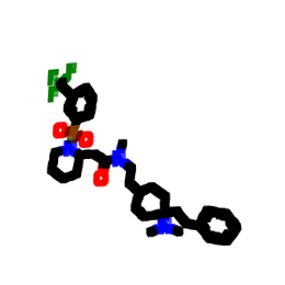 CN(CCC1CCC(CCc2ccccc2)(N(C)C)CC1)C(=O)CC1CCCCN1S(=O)(=O)c1cccc(C(F)(F)F)c1